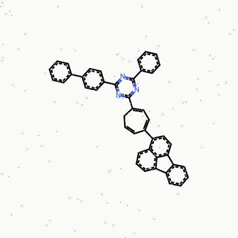 C1=CC(c2ccc3c4c(cccc24)-c2ccccc2-3)=CC=C(c2nc(-c3ccccc3)nc(-c3ccc(-c4ccccc4)cc3)n2)C1